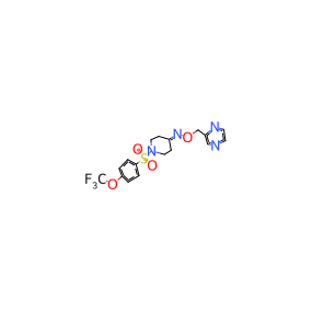 O=S(=O)(c1ccc(OC(F)(F)F)cc1)N1CCC(=NOCc2cnccn2)CC1